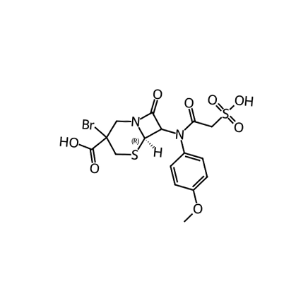 COc1ccc(N(C(=O)CS(=O)(=O)O)C2C(=O)N3CC(Br)(C(=O)O)CS[C@H]23)cc1